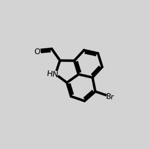 O=CC1Nc2ccc(Br)c3cccc1c23